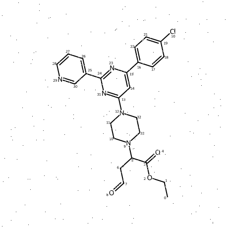 CCOC(=O)C(CC=O)N1CCN(c2cc(-c3ccc(Cl)cc3)nc(-c3cccnc3)n2)CC1